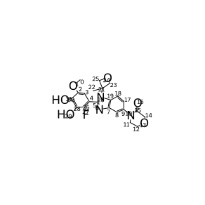 COc1cc(-c2nc3cc(N4CCOCC4=O)ccc3n2C2(C)COC2)c(F)c(O)c1O